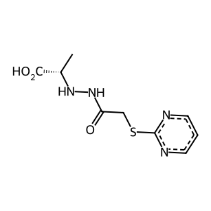 C[C@H](NNC(=O)CSc1ncccn1)C(=O)O